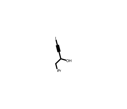 CC(C)CC(O)C#CI